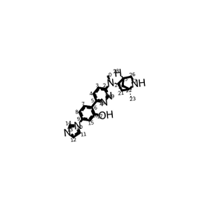 CN(c1ccc(-c2ccc(-n3ccnc3)cc2O)nn1)[C@H]1C[C@@]2(C)C[C@@H]1CN2